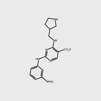 CC(=O)Nc1cccc(Nc2ncc(C(=O)O)c(NCC3CCNC3)n2)c1